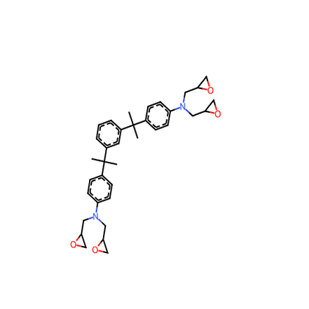 CC(C)(c1ccc(N(CC2CO2)CC2CO2)cc1)c1cccc(C(C)(C)c2ccc(N(CC3CO3)CC3CO3)cc2)c1